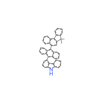 CC1(C)c2ccccc2-c2c1cc(-c1c3ccccc3c(-c3cccc4[nH]c5ccccc5c34)c3ccccc13)c1ccccc21